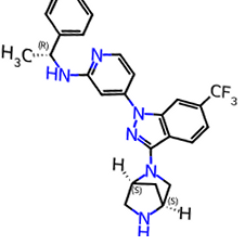 C[C@@H](Nc1cc(-n2nc(N3C[C@@H]4C[C@H]3CN4)c3ccc(C(F)(F)F)cc32)ccn1)c1ccccc1